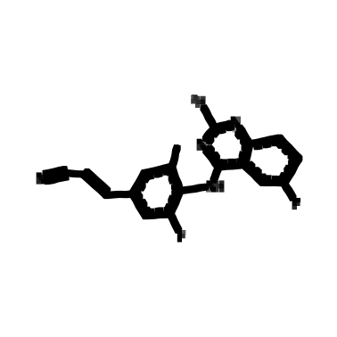 [2H]c1nc(Nc2c(C)cc(C=CC#N)cc2F)c2cc(F)ccc2n1